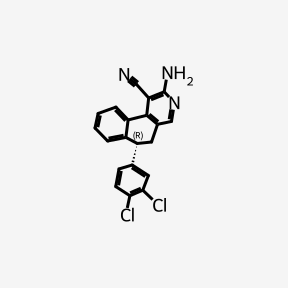 N#Cc1c(N)ncc2c1-c1ccccc1[C@@H](c1ccc(Cl)c(Cl)c1)C2